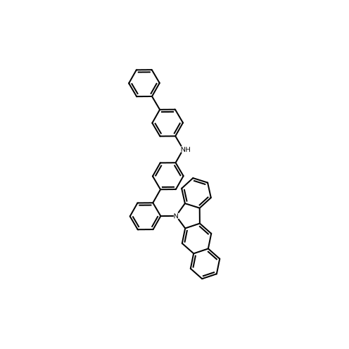 c1ccc(-c2ccc(Nc3ccc(-c4ccccc4-n4c5ccccc5c5cc6ccccc6cc54)cc3)cc2)cc1